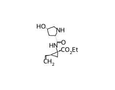 C=C[C@@H]1C[C@]1(NC(=O)[C@@H]1C[C@H](O)CN1)C(=O)OCC